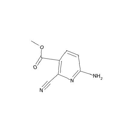 COC(=O)c1ccc(N)nc1C#N